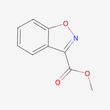 COC(=O)c1noc2ccccc12